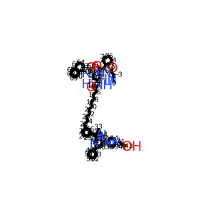 CN[C@@H](C)C(=O)N[C@H](C(=O)N1C[C@@H](NC(=O)CCCCCCCCCCc2cccc(-c3c(C)nn4c(N5CCN(CCO)CC5)cc(-c5ccccc5)nc34)c2)C[C@H]1C(=O)N[C@@H]1CCCc2ccccc21)C1CCCCC1